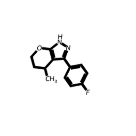 CC1CCOc2[nH]nc(-c3ccc(F)cc3)c21